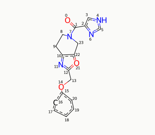 O=C(c1c[nH]cn1)N1CCc2nc(COc3ccccc3)oc2C1